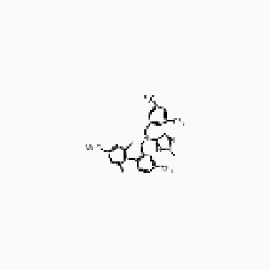 COc1cc(C)c(-c2ccc(C(F)(F)F)cc2CN(Cc2cc(C(F)(F)F)cc(C(F)(F)F)c2)c2nnn(C)n2)c(C)c1